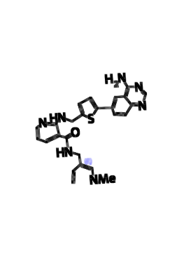 C=C/C(=C\NC)CNC(=O)c1cccnc1NCc1ccc(-c2ccc3ncnc(N)c3c2)s1